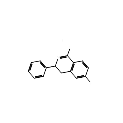 Cl.NC1=NC(c2ccccc2)Cc2cc(Br)ccc21